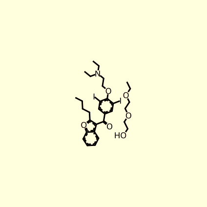 CCCCc1oc2ccccc2c1C(=O)c1cc(I)c(OCCN(CC)CC)c(I)c1.CCOCCOCCO